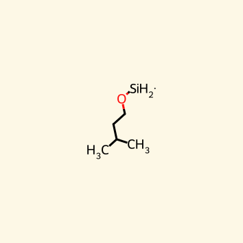 CC(C)CCO[SiH2]